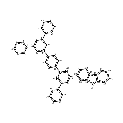 c1ccc(-c2cc(-c3ccccc3)cc(-c3ccc(-c4nc(-c5ccccc5)cc(-c5ccc6c(c5)sc5ccccc56)n4)cc3)c2)cc1